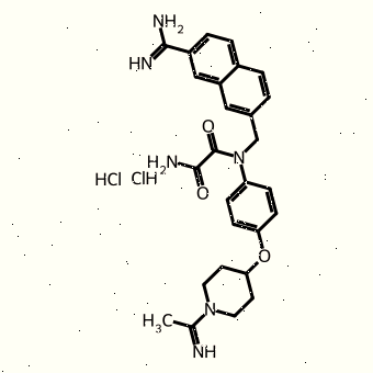 CC(=N)N1CCC(Oc2ccc(N(Cc3ccc4ccc(C(=N)N)cc4c3)C(=O)C(N)=O)cc2)CC1.Cl.Cl